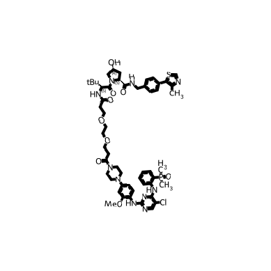 COc1cc(N2CCN(C(=O)CCOCCOCCC(=O)N[C@H](C(=O)N3C[C@H](O)C[C@H]3C(=O)NCc3ccc(-c4scnc4C)cc3)C(C)(C)C)CC2)ccc1Nc1ncc(Cl)c(Nc2ccccc2P(C)(C)=O)n1